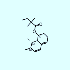 CCC(C)(C)C(=O)O[C@H]1CCC=C2C=C[C@@H](C)[C@H](C)C21